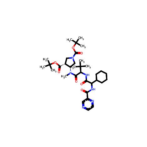 CN(C(=O)C(NC(=O)C(NC(=O)c1cnccn1)C1CCCCC1)C(C)(C)C)[C@H]1CN(C(=O)OC(C)(C)C)C[C@H]1C(=O)OC(C)(C)C